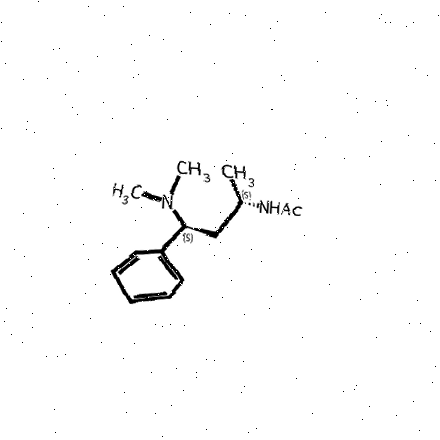 CC(=O)N[C@@H](C)C[C@@H](c1ccccc1)N(C)C